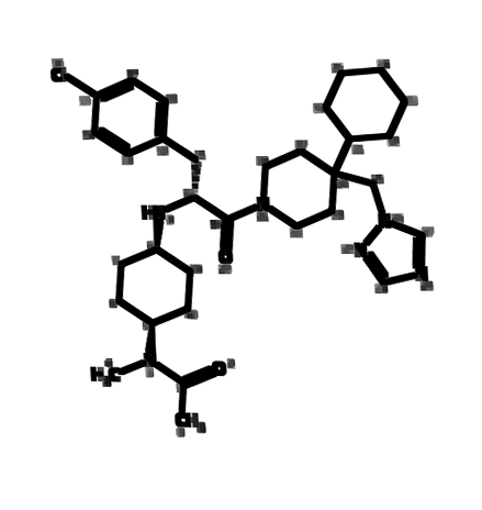 CC(=O)N(C)[C@H]1CC[C@@H](N[C@H](Cc2ccc(Cl)cc2)C(=O)N2CCC(Cn3cncn3)(C3CCCCC3)CC2)CC1